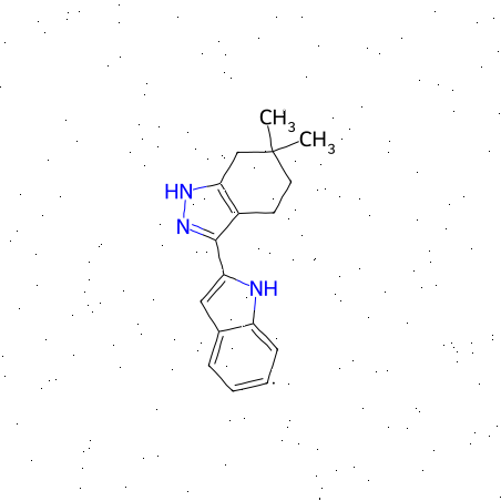 CC1(C)CCc2c(-c3cc4cc[c]cc4[nH]3)n[nH]c2C1